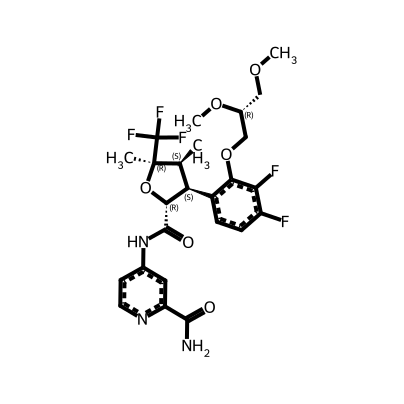 COC[C@H](COc1c([C@H]2[C@H](C(=O)Nc3ccnc(C(N)=O)c3)O[C@@](C)(C(F)(F)F)[C@H]2C)ccc(F)c1F)OC